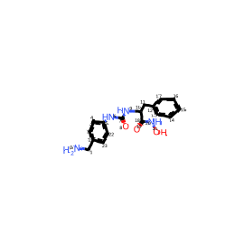 NCc1ccc(NC(=O)NC(Cc2ccccc2)C(=O)NO)cc1